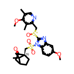 COc1ccc2c(c1)nc([S+]([O-])Cc1ncc(C)c(OC)c1C)n2S(=O)(=O)C[C@]12CCC(CC1=O)C2(C)C